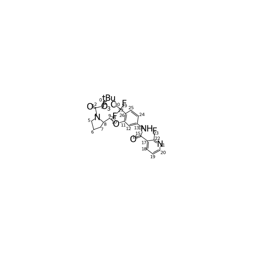 CC(C)(C)OC(=O)N1CCCC1COc1cc(NC(=O)c2cccnc2F)ccc1C(F)(F)C(F)(F)F